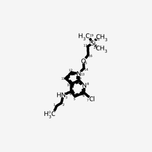 CCCNc1cc(Cl)nc2c1ccn2COCC[Si](C)(C)C